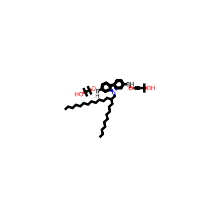 CCCCCCCCCCCCC(CCCCCCCCCC)Cn1c2cc(BOC#CC(C)(C)O)ccc2c2ccc(BOC(C)(C)C(C)(C)O)cc21